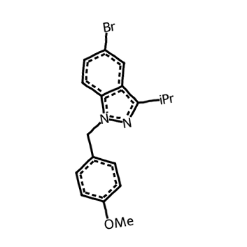 COc1ccc(Cn2nc(C(C)C)c3cc(Br)ccc32)cc1